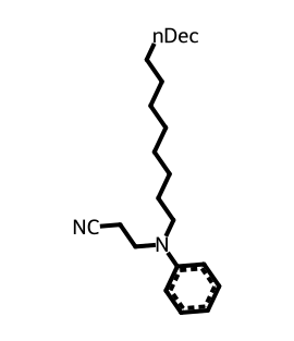 CCCCCCCCCCCCCCCCCCN(CCC#N)c1ccccc1